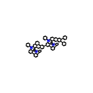 C1=Cc2cc3c(c4cc5ccc(-c6cc7c8c(c6)N(c6ccccc6)c6ccc9cc%10cc(-c%11ccccc%11)c(-c%11ccccc%11)cc%10cc9c6B8n6c8ccccc8c8cccc-7c86)cc5c(c24)C1)B1c2c(cccc2N3c2ccccc2)-c2cccc3c4ccccc4n1c23